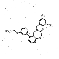 O=C(O)COc1cccc(-c2ccnc3c2CN(Cc2cc(C(F)(F)F)cc(C(F)(F)F)c2)C(=O)CO3)c1